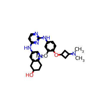 COc1cc(Nc2nccc(Nc3cnc4c(c3)CC(O)CC4)n2)ccc1OC1CC(N(C)C)C1